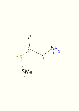 CSSC(C)CN